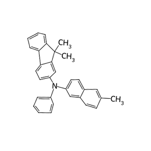 Cc1ccc2cc(N(c3ccccc3)c3ccc4c(c3)C(C)(C)c3ccccc3-4)ccc2c1